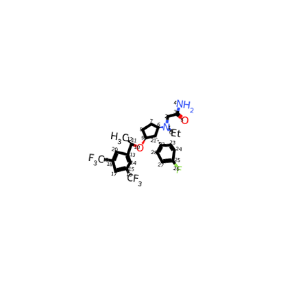 CCN(CC(N)=O)[C@@H]1CC[C@H](O[C@H](C)c2cc(C(F)(F)F)cc(C(F)(F)F)c2)[C@H]1c1ccc(F)cc1